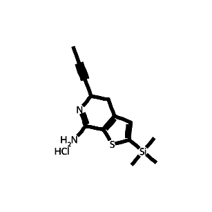 CC#CC1Cc2cc([Si](C)(C)C)sc2C(N)=N1.Cl